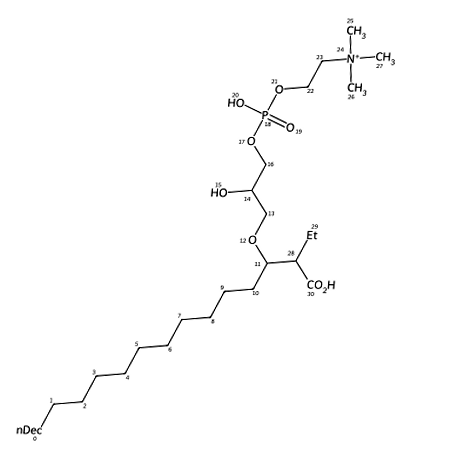 CCCCCCCCCCCCCCCCCCCCC(OCC(O)COP(=O)(O)OCC[N+](C)(C)C)C(CC)C(=O)O